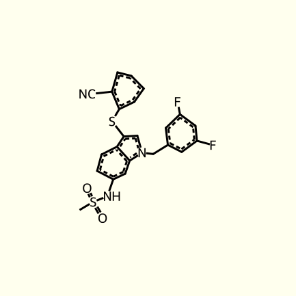 CS(=O)(=O)Nc1ccc2c(Sc3ccccc3C#N)cn(Cc3cc(F)cc(F)c3)c2c1